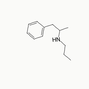 CCCNC(C)Cc1ccccc1